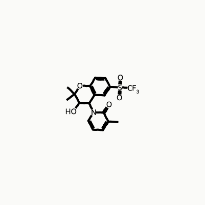 Cc1cccn(C2c3cc(S(=O)(=O)C(F)(F)F)ccc3OC(C)(C)C2O)c1=O